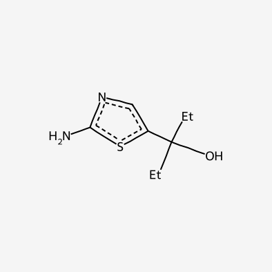 CCC(O)(CC)c1cnc(N)s1